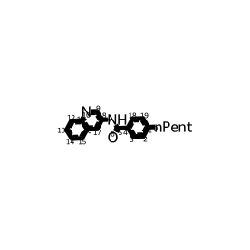 CCCCCc1ccc(C(=O)Nc2cnc3ccccc3c2)cc1